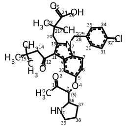 CC(=O)[C@@H](Oc1ccc2c(c1)c(C(=O)CC(C)(C)C)c(CC(C)(C)C(=O)O)n2Cc1ccc(Cl)cc1)C1CCCN1